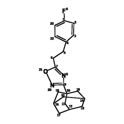 Fc1ccc(CCc2nc(C34CC5CC(CC(C5)C3)C4)no2)cc1